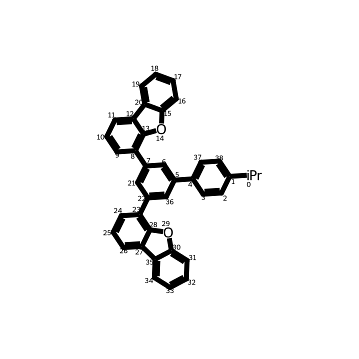 CC(C)c1ccc(-c2cc(-c3cccc4c3oc3ccccc34)cc(-c3cccc4c3oc3ccccc34)c2)cc1